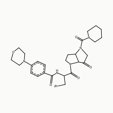 CC(C)CC(NC(=O)c1ccc(N2CCOCC2)cc1)C(=O)N1CCC2C1C(=O)CN2C(=O)N1CCCCC1